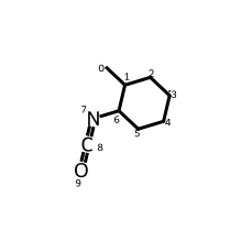 CC1C[CH]CCC1N=C=O